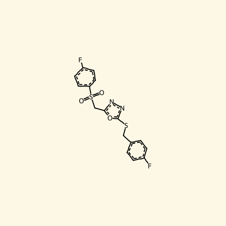 O=S(=O)(Cc1nnc(SCc2ccc(F)cc2)o1)c1ccc(F)cc1